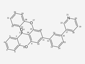 O=P12c3ccccc3Oc3cc(-c4cccc(-c5cccnc5)c4)cc(c31)Oc1ccccc12